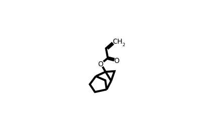 C=CC(=O)OC12CC1C1CCC2C1